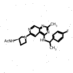 CC(=O)N[C@@H]1CCN(c2cc3c(NC(C)c4ccc(F)cc4)nc(C)nc3cn2)C1